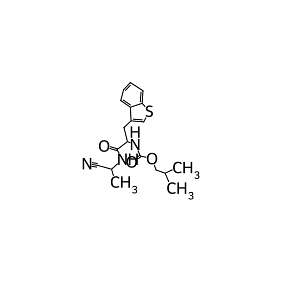 CC(C)COC(=O)NC(Cc1csc2ccccc12)C(=O)NC(C)C#N